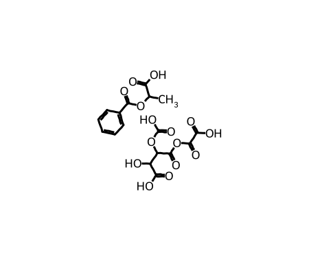 CC(OC(=O)c1ccccc1)C(=O)O.O=C(O)OC(C(=O)OC(=O)C(=O)O)C(O)C(=O)O